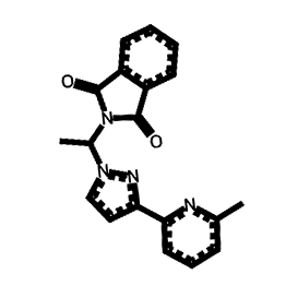 Cc1cccc(-c2ccn(C(C)N3C(=O)c4ccccc4C3=O)n2)n1